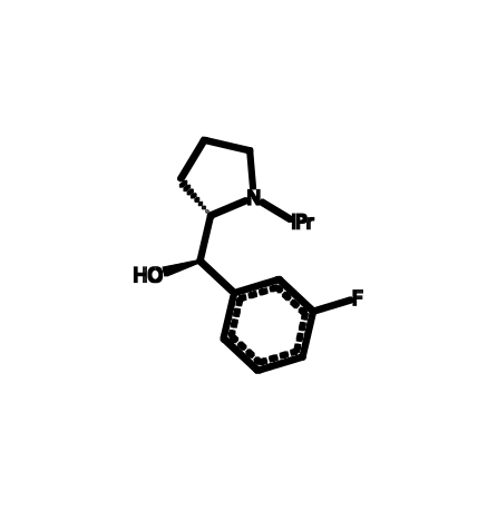 CC(C)N1CCC[C@H]1[C@H](O)c1cccc(F)c1